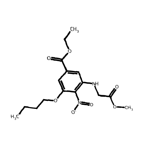 CCCCOc1cc(C(=O)OCC)cc(NCC(=O)OC)c1[N+](=O)[O-]